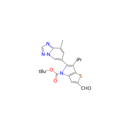 Cc1cc(-c2c(C(C)C)c3sc(C=O)cc3n2C(=O)OC(C)(C)C)cn2ncnc12